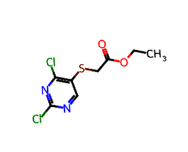 CCOC(=O)CSc1cnc(Cl)nc1Cl